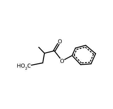 CC(CC(=O)O)C(=O)Oc1ccccc1